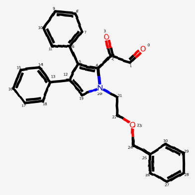 O=CC(=O)c1c(-c2ccccc2)c(-c2ccccc2)cn1CCOCc1ccccc1